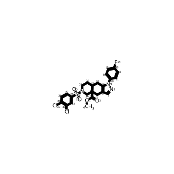 COC(=O)C12Cc3cnn(-c4ccc(F)cc4)c3CC1CCN(S(=O)(=O)c1ccc(Cl)c(Cl)c1)C2